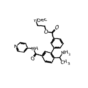 CCCCCCCCCCCCOC(=O)c1cccc(-c2cc(C(=O)Nc3ccncc3)ccc2C(C)N)c1